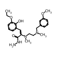 CCOc1cccc(/C=C(\C(=O)NN)N(C)CCN(C)Cc2cccc(OC)c2)c1O